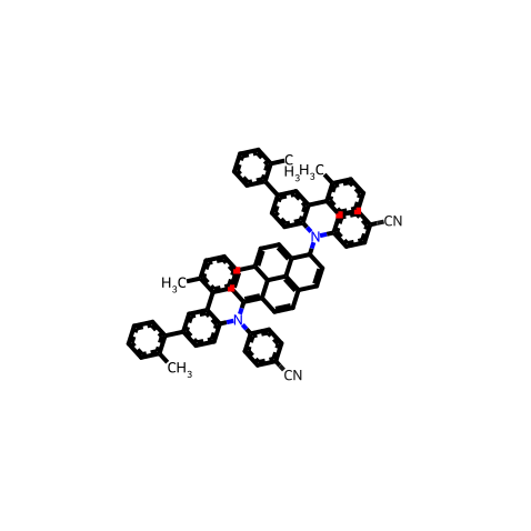 Cc1ccccc1-c1ccc(N(C2=C3C=CC4=C5C(=CC=C(C=C2)C35)C(N(c2ccc(C#N)cc2)c2ccc(-c3ccccc3C)cc2-c2ccccc2C)C=C4)c2ccc(C#N)cc2)c(-c2ccccc2C)c1